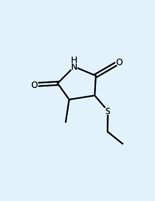 CCSC1C(=O)NC(=O)C1C